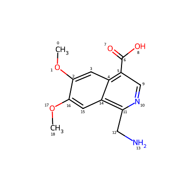 COc1cc2c(C(=O)O)cnc(CN)c2cc1OC